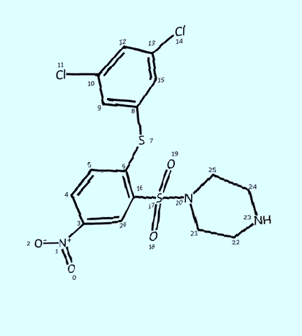 O=[N+]([O-])c1ccc(Sc2cc(Cl)cc(Cl)c2)c(S(=O)(=O)N2CCNCC2)c1